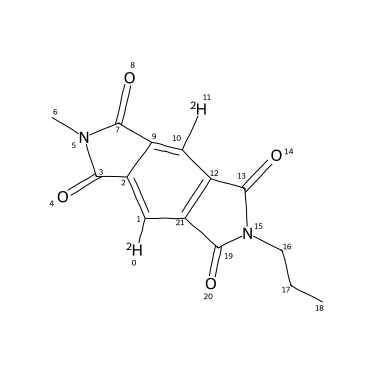 [2H]c1c2c(=O)n(C)c(=O)c2c([2H])c2c(=O)n(CCC)c(=O)c12